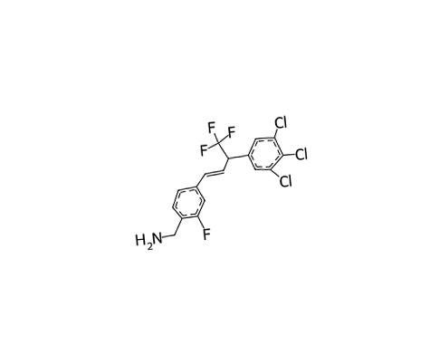 NCc1ccc(/C=C/C(c2cc(Cl)c(Cl)c(Cl)c2)C(F)(F)F)cc1F